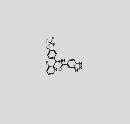 O=C(NC(c1ccc(OC(F)(F)F)cc1)c1ncccc1F)c1ccn2nnnc2c1